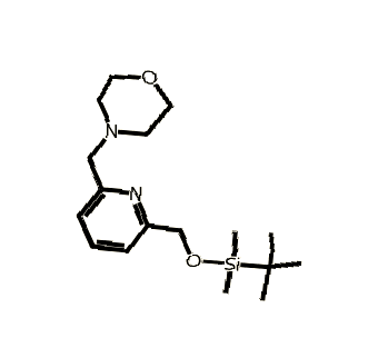 CC(C)(C)[Si](C)(C)OCc1cccc(CN2CCOCC2)n1